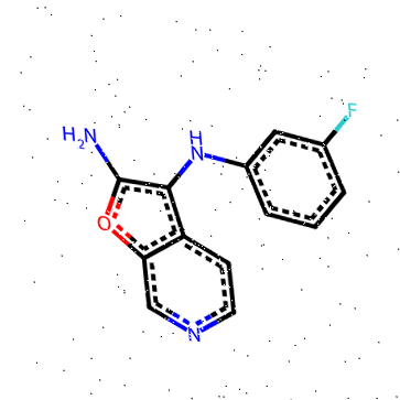 Nc1oc2cnccc2c1Nc1cccc(F)c1